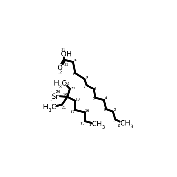 CCCCCCCCCCCC(=O)O.CCCCC[C]([Sn])(CC)CC